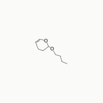 CCCCOC1CCC=CO1